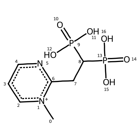 C[n+]1cccnc1CC(P(=O)(O)O)P(=O)(O)O